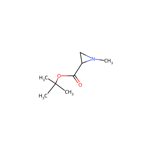 CN1CC1C(=O)OC(C)(C)C